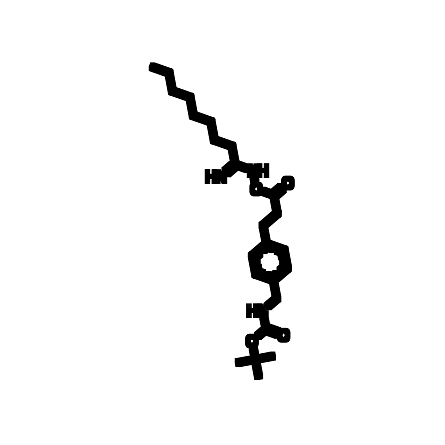 CCCCCCCCC(=N)NOC(=O)CCc1ccc(CNC(=O)OC(C)(C)C)cc1